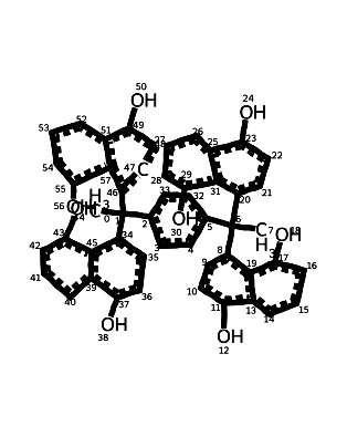 CC(c1ccc(C(C)(c2ccc(O)c3cccc(O)c23)c2ccc(O)c3cccc(O)c23)cc1)(c1ccc(O)c2cccc(O)c12)c1ccc(O)c2cccc(O)c12